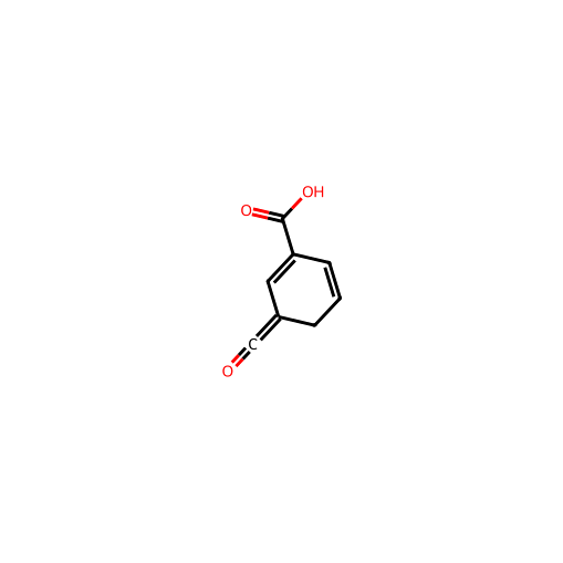 O=C=C1C=C(C(=O)O)C=CC1